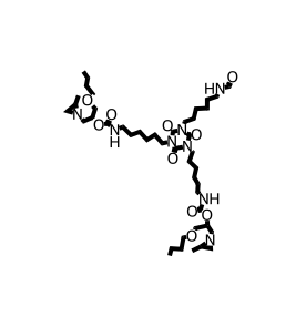 CCCCOCC(CN1CC1C)OC(=O)NCCCCCCn1c(=O)n(CCCCCCNC=O)c(=O)n(CCCCCCNC(=O)OC(COCCCC)CN2CC2C)c1=O